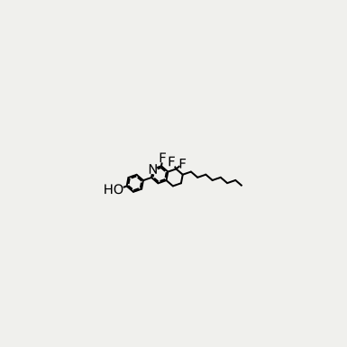 CCCCCCCCC1CCc2cc(-c3ccc(O)cc3)nc(F)c2C1(F)F